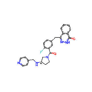 O=C(c1cc(Cc2n[nH]c(=O)c3ccccc23)ccc1F)N1CC[C@@H](NCc2ccncc2)C1